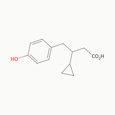 O=C(O)CC(Cc1ccc(O)cc1)C1CC1